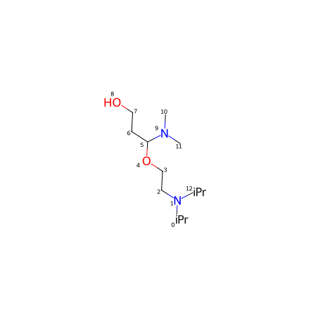 CC(C)N(CCOC(CCO)N(C)C)C(C)C